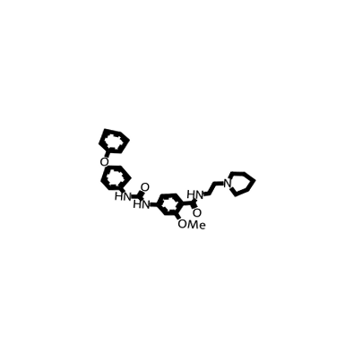 COc1cc(NC(=O)Nc2ccc(Oc3ccccc3)cc2)ccc1C(=O)NCCN1CCCCC1